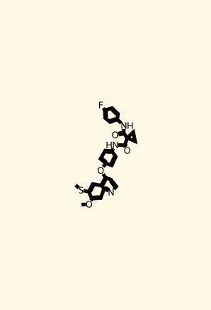 COc1cc2nccc(Oc3ccc(NC(=O)C4(C(=O)Nc5ccc(F)cc5)CC4)cc3)c2cc1SC